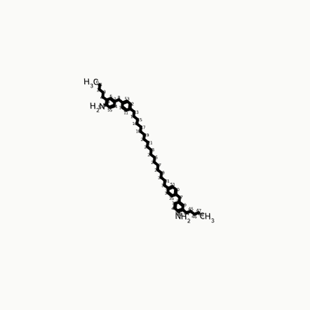 CCCCCc1cc(Cc2ccc(CCCCCCCCCCCCCCCCCCCCc3ccc(Cc4ccc(N)c(CCCCC)c4)cc3)cc2)ccc1N